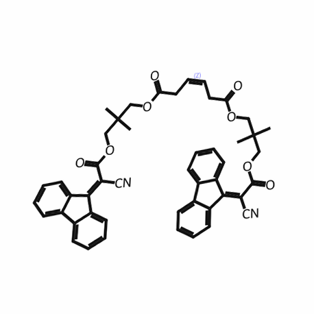 CC(C)(COC(=O)C/C=C\CC(=O)OCC(C)(C)COC(=O)C(C#N)=C1c2ccccc2-c2ccccc21)COC(=O)C(C#N)=C1c2ccccc2-c2ccccc21